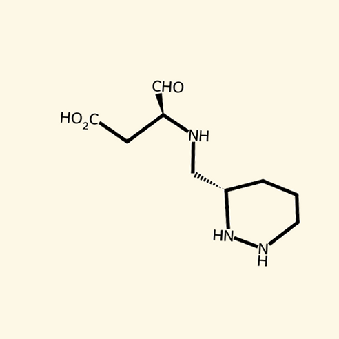 O=C[C@H](CC(=O)O)NC[C@@H]1CCCNN1